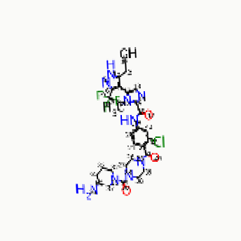 C#CCc1[nH]nc(C(F)(F)F)c1-c1cnc(C(=O)Nc2ccc(C(=O)N3CCN(C(=O)N4CCC[C@H](N)C4)CC3)c(Cl)c2)n1C